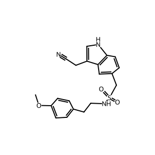 COc1ccc(CCNS(=O)(=O)Cc2ccc3[nH]cc(CC#N)c3c2)cc1